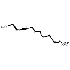 CCCCCCC=CC#CCCCCCCCC(=O)O